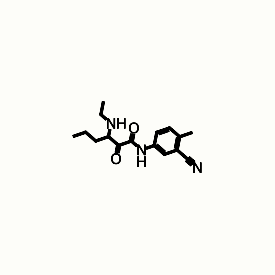 CCCC(NCC)C(=O)C(=O)Nc1ccc(C)c(C#N)c1